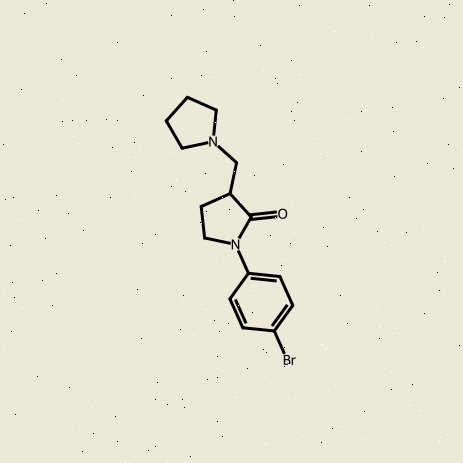 O=C1C(CN2CCCC2)CCN1c1ccc(Br)cc1